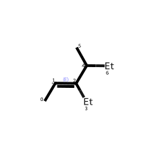 C/[C]=C(\CC)C(C)CC